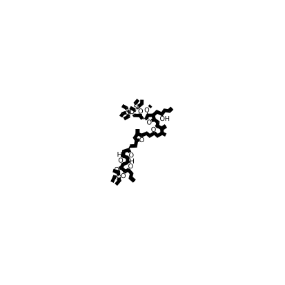 C=CCC1O[C@@H]2C(O[C@@H]3C[C@@H](CCC4CC(=C)C(CCC5CC(C)C(=C)C(CC6O[C@H](CC(CO[Si](CC)(CC)CC)O[Si](CC)(CC)CC)[C@H](OC)C6C[C@@H](O)CC=C)O5)O4)OC23)C(OC)C1O[Si](CC)(CC)CC